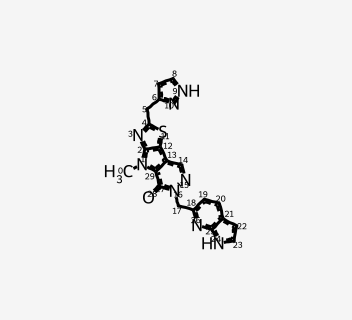 Cn1c2nc(Cc3cc[nH]n3)sc2c2cnn(Cc3ccc4cc[nH]c4n3)c(=O)c21